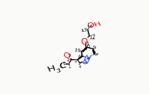 CCC(=O)c1cnn2ccc(OCCO)cc12